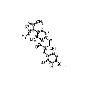 CCc1cc(C)[nH]c(=O)c1CN1CCc2ccc(-c3c(C)nnn3C)c(Cl)c2C1=O